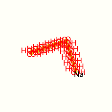 O=S(=O)(O)O.O=S(=O)(O)O.O=S(=O)(O)O.O=S(=O)(O)O.O=S(=O)(O)O.O=S(=O)(O)O.O=S(=O)(O)O.O=S(=O)(O)O.O=S(=O)(O)O.O=S(=O)(O)O.O=S(=O)(O)O.O=S(=O)(O)O.[Na]